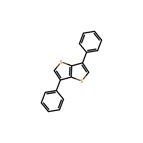 c1ccc(-c2csc3c(-c4ccccc4)csc23)cc1